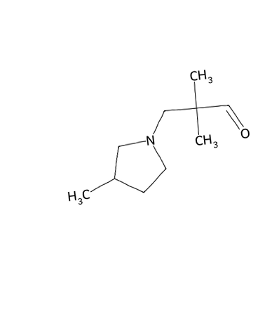 CC1CCN(CC(C)(C)C=O)C1